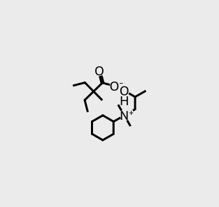 CC(O)C[N+](C)(C)C1CCCCC1.CCC(C)(CC)C(=O)[O-]